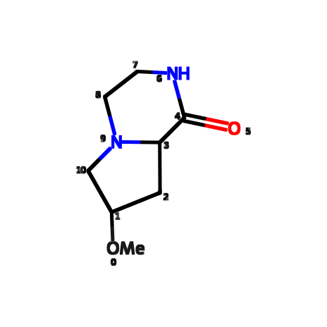 COC1CC2C(=O)NCCN2C1